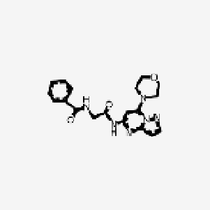 O=C(CNC(=O)c1ccccc1)Nc1cc(N2CCOCC2)n2nccc2n1